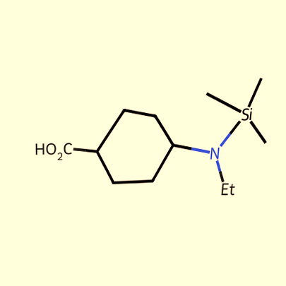 CCN(C1CCC(C(=O)O)CC1)[Si](C)(C)C